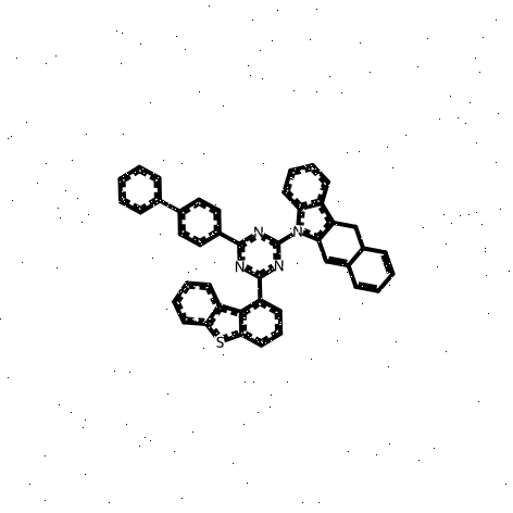 C1=CC2=Cc3c(c4ccccc4n3-c3nc(-c4ccc(-c5ccccc5)cc4)nc(-c4cccc5sc6ccccc6c45)n3)CC2C=C1